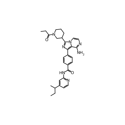 CCC(=O)N1CCCC(c2nc(-c3ccc(C(=O)Nc4cc(C(C)CC)ccn4)cc3)c3c(N)nccn23)C1